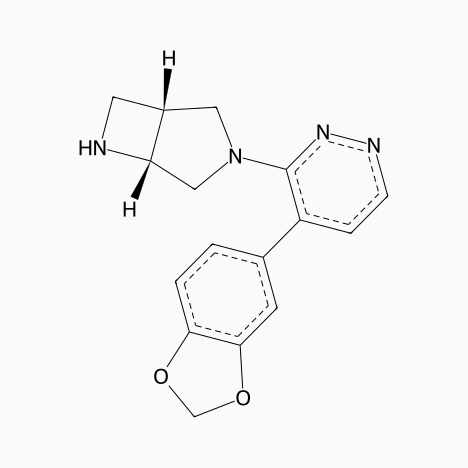 c1cc(-c2ccc3c(c2)OCO3)c(N2C[C@H]3CN[C@H]3C2)nn1